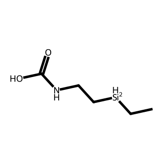 CC[SiH2]CCNC(=O)O